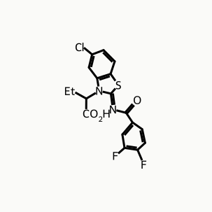 CCC(C(=O)O)n1c(=NC(=O)c2ccc(F)c(F)c2)sc2ccc(Cl)cc21